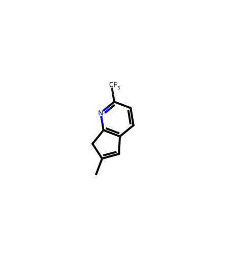 CC1=Cc2ccc(C(F)(F)F)nc2C1